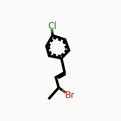 CC(Br)C=Cc1ccc(Cl)cc1